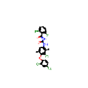 Cc1cc(NC(=O)NC(=O)c2c(F)cccc2F)c(C)c(Cl)c1Oc1ccc(Cl)cc1Cl